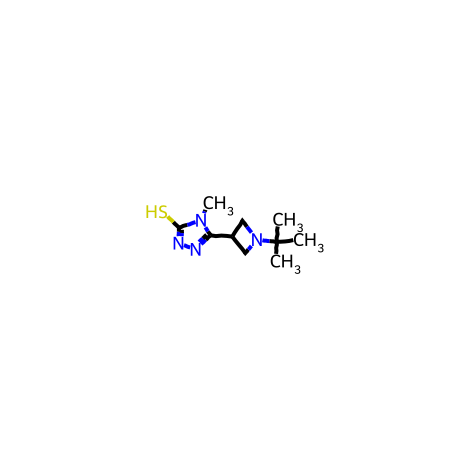 Cn1c(S)nnc1C1CN(C(C)(C)C)C1